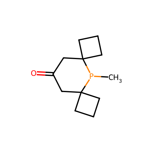 CP1C2(CCC2)CC(=O)CC12CCC2